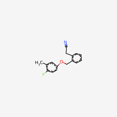 Cc1cc(OCc2ccccc2CC#N)ccc1F